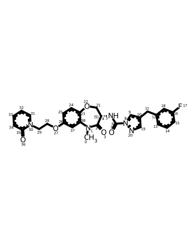 CN1C(=O)[C@@H](NC(=O)n2cc(Cc3cccc(F)c3)cn2)COc2ccc(OCCn3ccccc3=O)cc21